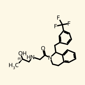 C[C@@H](O)CNCC(=O)N1CCc2ccccc2C1Cc1cccc(C(F)(F)F)c1